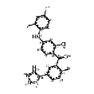 Cc1cc(F)ccc1Nc1ccc(C(=O)c2cc(-c3nnn[nH]3)ccc2C)c(Cl)c1